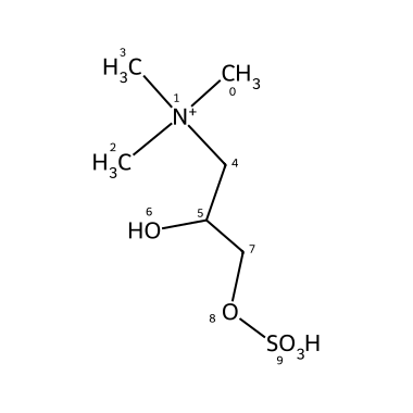 C[N+](C)(C)CC(O)COS(=O)(=O)O